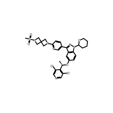 C[C@@H](Oc1ccc2c(c1)c(-c1ccc(N3CC4(C3)CN(S(C)(=O)=O)C4)nc1)nn2C1CCCCO1)c1c(Cl)cncc1Cl